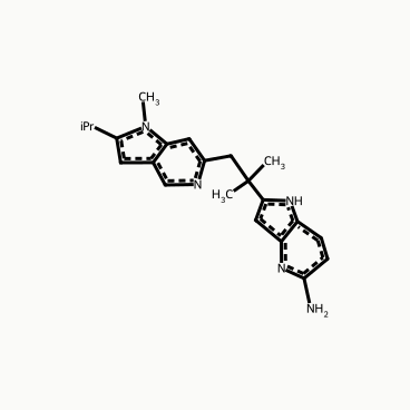 CC(C)c1cc2cnc(CC(C)(C)c3cc4nc(N)ccc4[nH]3)cc2n1C